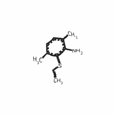 C=CSc1c(C)ccc(C)c1N